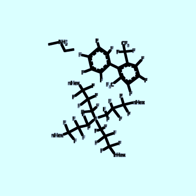 CCCCCCC(F)(F)C(F)(F)C(F)(F)[B-](C(F)(F)C(F)(F)C(F)(F)CCCCCC)(C(F)(F)C(F)(F)C(F)(F)CCCCCC)C(F)(F)C(F)(F)C(F)(F)CCCCCC.CC[NH2+]C.Fc1c(F)c(F)c(-c2c(C(F)(F)F)c(F)c(F)c(F)c2C(F)(F)C(F)(F)F)c(F)c1F